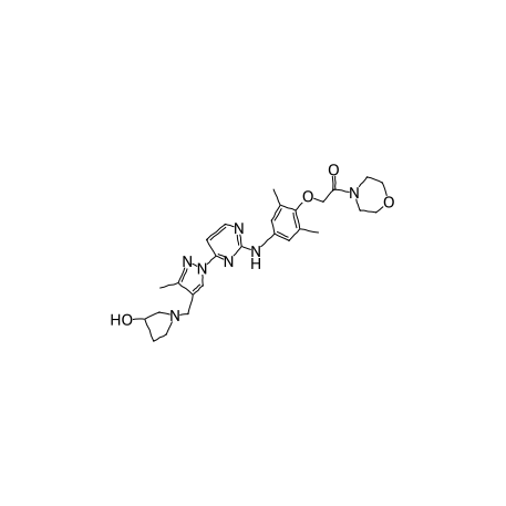 Cc1cc(Nc2nccc(-n3cc(CN4CCC(O)C4)c(C)n3)n2)cc(C)c1OCC(=O)N1CCOCC1